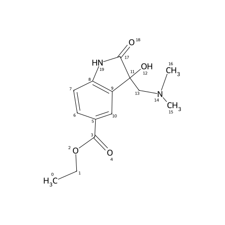 CCOC(=O)c1ccc2c(c1)C(O)(CN(C)C)C(=O)N2